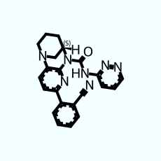 N#Cc1ccccc1-c1ccc2c(n1)N(C(=O)Nc1cccnn1)[C@H]1CCCN2C1